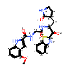 COc1cccc2[nH]c(C(=O)NCC(=O)N[C@@H](C[C@@H]3CCNC3=O)C(=O)c3nc4ccccc4s3)cc12